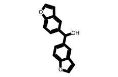 OC(c1ccc2occc2c1)c1ccc2occc2c1